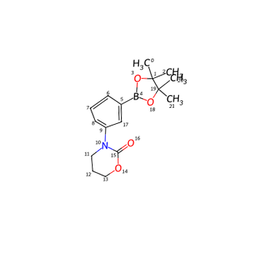 CC1(C)OB(c2cccc(N3CCCOC3=O)c2)OC1(C)C